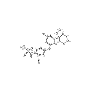 COC1(c2cc(F)cc(Sc3ccc(NS(C)(=O)=O)c(F)c3)c2)CCOCC1